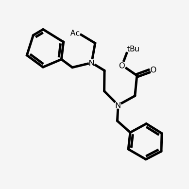 CC(=O)CN(CCN(CC(=O)OC(C)(C)C)Cc1ccccc1)Cc1ccccc1